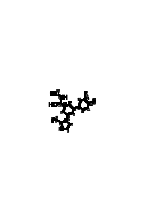 CC(C)c1nccn1-c1cc(-c2ccc(F)c(F)c2)cc(C(O)NC(C)(C)C)c1